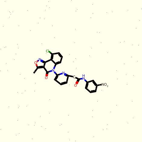 Cc1onc2c1c(=O)n(-c1cccc(CC(=O)Nc3cccc([N+](=O)[O-])c3)n1)c1cccc(Cl)c21